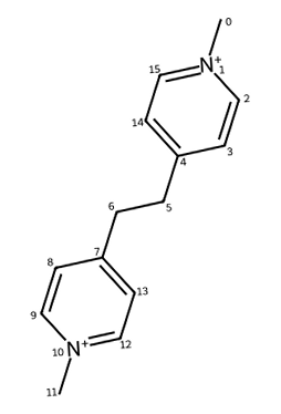 C[n+]1ccc(CCc2cc[n+](C)cc2)cc1